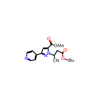 COC(=O)c1cc(-c2ccncc2)nn1C(C#N)CC(=O)OC(C)(C)C